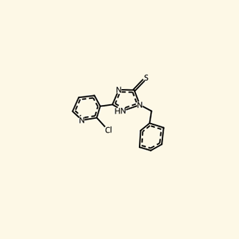 S=c1nc(-c2cccnc2Cl)[nH]n1Cc1ccccc1